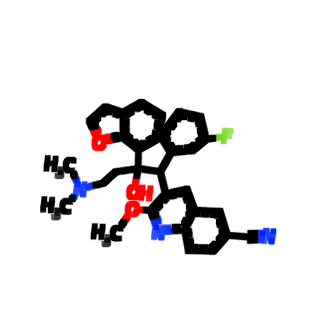 COc1nc2ccc(C#N)cc2cc1C(c1cccc(F)c1)C(O)(CCN(C)C)c1cccc2ccoc12